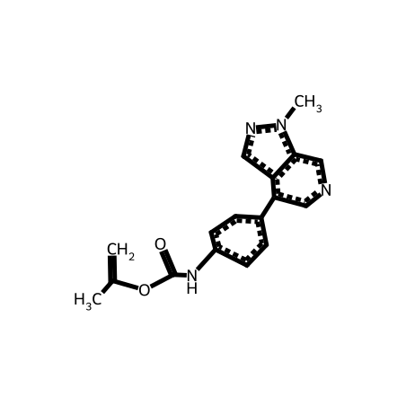 C=C(C)OC(=O)Nc1ccc(-c2cncc3c2cnn3C)cc1